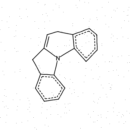 C1=C2Cc3ccccc3N2c2ccccc2C1